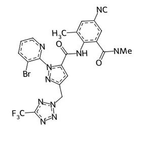 [C-]#[N+]c1cc(C)c(NC(=O)c2cc(Cn3nnc(C(F)(F)F)n3)nn2-c2ncccc2Br)c(C(=O)NC)c1